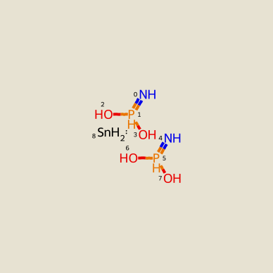 N=[PH](O)O.N=[PH](O)O.[SnH2]